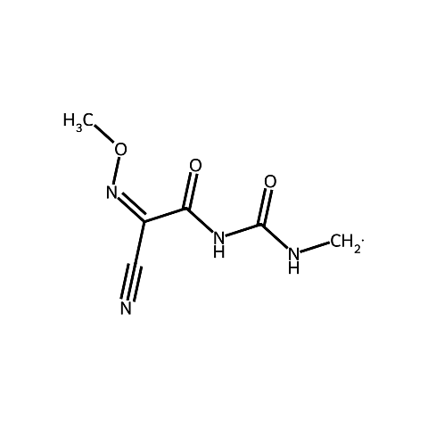 [CH2]NC(=O)NC(=O)/C(C#N)=N\OC